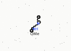 COc1ccc2cc(CCCCN3CCCC(Cc4ccccc4)C3)[nH]c2c1